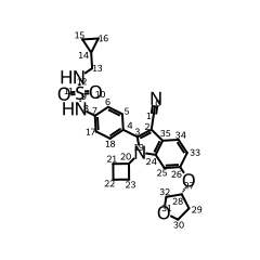 N#Cc1c(-c2ccc(NS(=O)(=O)NCC3CC3)cc2)n(C2CCC2)c2cc(O[C@@H]3CCOC3)ccc12